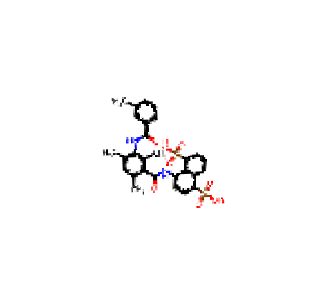 Cc1cccc(C(=O)Nc2c(C)cc(C)c(C(=O)Nc3ccc(S(=O)(=O)O)c4cccc(S(=O)(=O)O)c34)c2C)c1